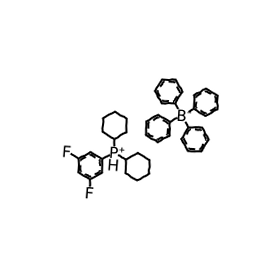 Fc1cc(F)cc([PH+](C2CCCCC2)C2CCCCC2)c1.c1ccc([B-](c2ccccc2)(c2ccccc2)c2ccccc2)cc1